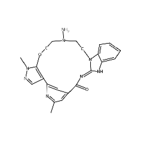 Cc1cc2cc(n1)-c1cnn(C)c1OCCN(N)CCN1/C(=N/C2=O)Nc2ccccc21